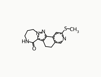 CSc1cc2c(cn1)CCc1c-2nn2c1C(=O)NCCC2